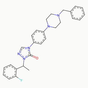 CC(c1ccccc1F)n1ncn(-c2ccc(N3CCN(Cc4ccccc4)CC3)cc2)c1=O